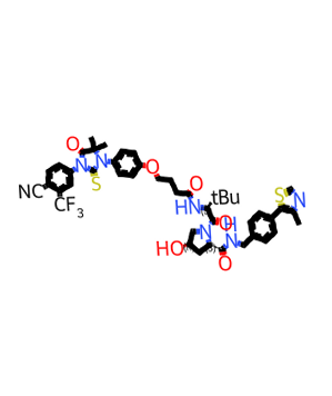 Cc1ncsc1-c1ccc(CNC(=O)[C@@H]2C[C@@H](O)CN2C(=O)[C@@H](NC(=O)CCCOc2ccc(N3C(=S)N(c4ccc(C#N)c(C(F)(F)F)c4)C(=O)C3(C)C)cc2)C(C)(C)C)cc1